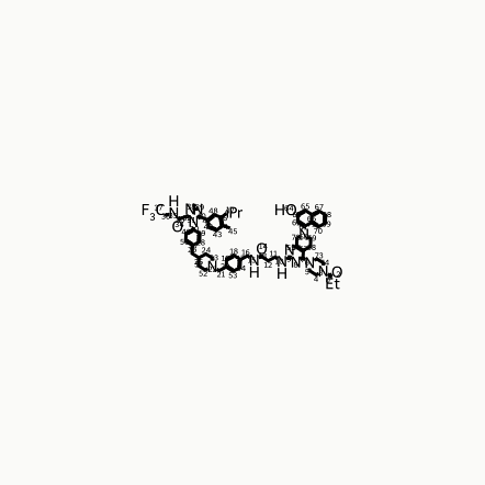 CCC(=O)N1CCN(c2nc(NCCC(=O)NCc3ccc(CN4CCC(Cc5ccc(-n6c(C(=O)NCC(F)(F)F)nnc6-c6ccc(C)c(C(C)C)c6)cc5)CC4)cc3)nc3c2CCN(c2cc(O)cc4ccccc24)C3)CC1